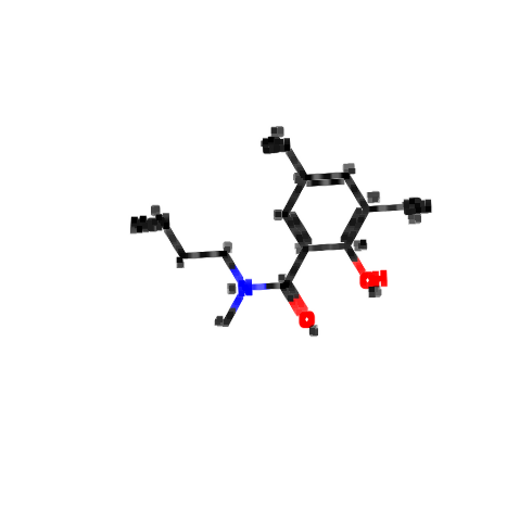 CNCCN(C)C(=O)c1cc(C(C)(C)C)cc(C(C)(C)C)c1O